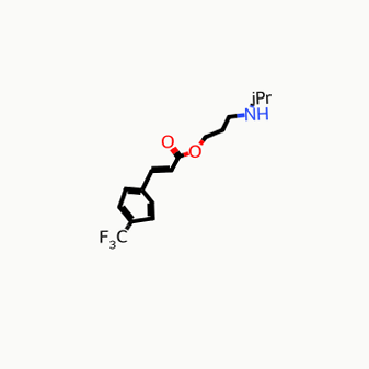 CC(C)NCCCOC(=O)/C=C/c1ccc(C(F)(F)F)cc1